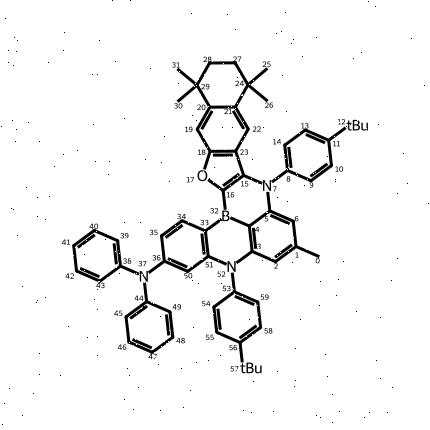 Cc1cc2c3c(c1)N(c1ccc(C(C)(C)C)cc1)c1c(oc4cc5c(cc14)C(C)(C)CCC5(C)C)B3c1ccc(N(c3ccccc3)c3ccccc3)cc1N2c1ccc(C(C)(C)C)cc1